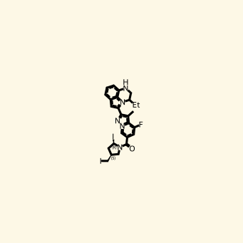 CCC1CNc2cccc3cc(-c4nn5cc(C(=O)N6C[C@@H](CI)C[C@H]6I)cc(F)c5c4C)n1c23